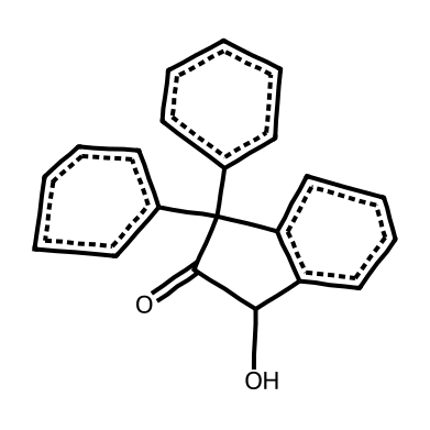 O=C1C(O)c2ccccc2C1(c1ccccc1)c1ccccc1